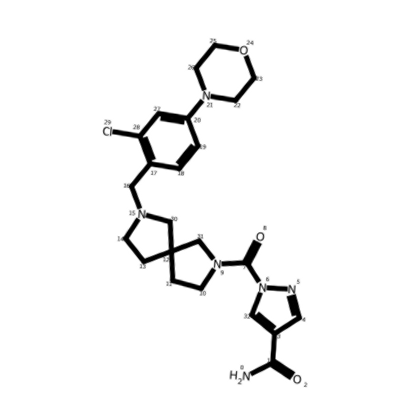 NC(=O)c1cnn(C(=O)N2CCC3(CCN(Cc4ccc(N5CCOCC5)cc4Cl)C3)C2)c1